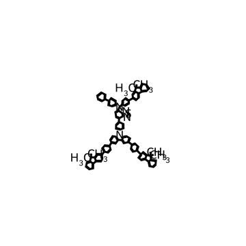 CC1(C)c2ccccc2-c2ccc(-c3ccc(-c4ccc5c(c4)c4cc(-c6ccc(-c7ccc8c(c7)C(C)(C)c7ccccc7-8)cc6)ccc4n5-c4ccc(-c5ccc(N(c6ccc(-c7ccccc7)cc6)c6ccc(-c7ccc8c(c7)C(C)(C)c7ccccc7-8)cc6)c6nsnc56)cc4)cc3)cc21